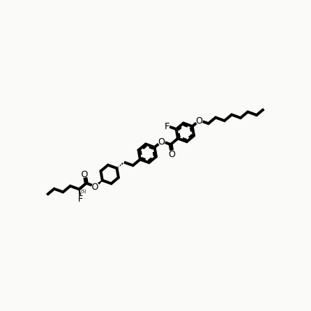 CCCCCCCCOc1ccc(C(=O)Oc2ccc(CC[C@H]3CC[C@H](OC(=O)[C@@H](F)CCCC)CC3)cc2)c(F)c1